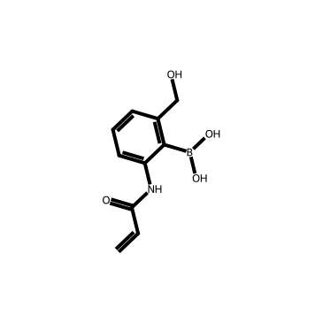 C=CC(=O)Nc1cccc(CO)c1B(O)O